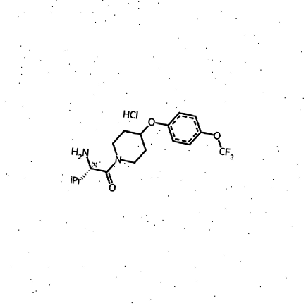 CC(C)[C@H](N)C(=O)N1CCC(Oc2ccc(OC(F)(F)F)cc2)CC1.Cl